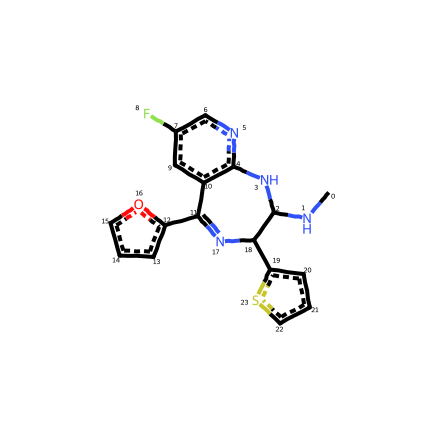 CNC1Nc2ncc(F)cc2C(c2ccco2)=NC1c1cccs1